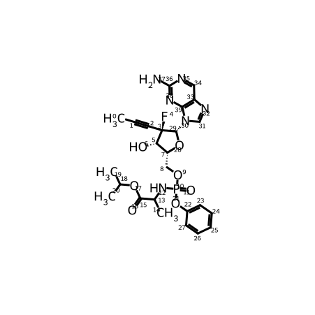 CC#C[C@@]1(F)[C@@H](O)[C@@H](COP(=O)(NC(C)C(=O)OC(C)C)Oc2ccccc2)O[C@H]1n1cnc2cnc(N)nc21